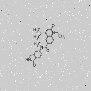 CCn1c(=O)cc(C(C)C)c2cc(C(=O)N(C)c3ccc4c(c3)CNC4=O)ccc21